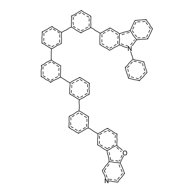 c1ccc(-n2c3ccccc3c3cc(-c4cccc(-c5cccc(-c6cccc(-c7cccc(-c8cccc(-c9ccc%10oc%11ccncc%11c%10c9)c8)c7)c6)c5)c4)ccc32)cc1